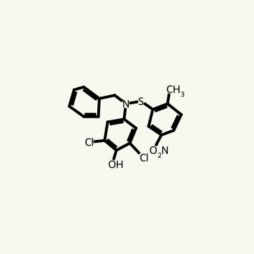 Cc1ccc([N+](=O)[O-])cc1SN(Cc1ccccc1)c1cc(Cl)c(O)c(Cl)c1